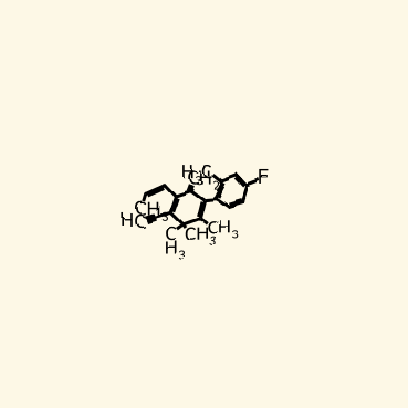 C#CC1=C(/C=C\C)C(=C)C(c2ccc(F)cc2C)=C(C)C1(C)C